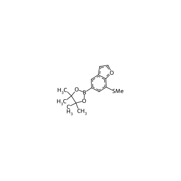 CSc1cc(B2OC(C)(C)C(C)(C)O2)cc2ccoc12